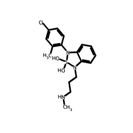 CNCCCN1c2ccccc2N(c2ccc(Cl)cc2C)S1(O)O